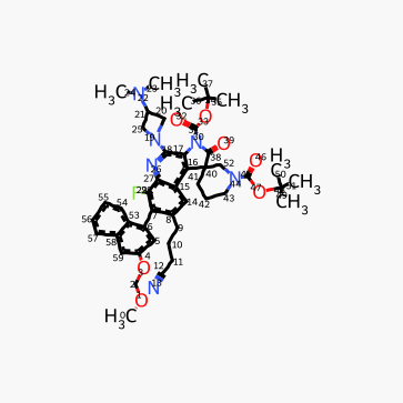 COCOc1cc(-c2c(CCCC#N)cc3c4c(c(N5CC(N(C)C)C5)nc3c2F)N(C(=O)OC(C)(C)C)C(=O)C42CCCN(C(=O)OC(C)(C)C)C2)c2ccccc2c1